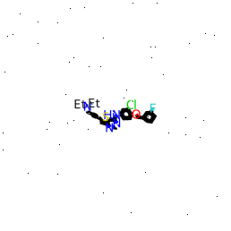 CCN(CC)CC#Cc1cc2ncnc(Nc3ccc(OCc4cccc(F)c4)c(Cl)c3)c2s1